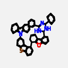 C1=Cc2c(oc3cccc(C4NC(c5ccccc5)=NC(c5ccccc5)N4)c23)C(c2cccc3sc4ccc(-n5c6ccccc6c6ccccc65)cc4c23)C1